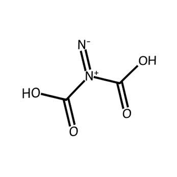 [N-]=[N+](C(=O)O)C(=O)O